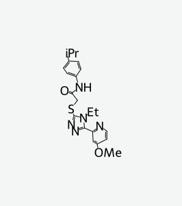 CCn1c(SCC(=O)Nc2ccc(C(C)C)cc2)nnc1-c1cc(OC)ccn1